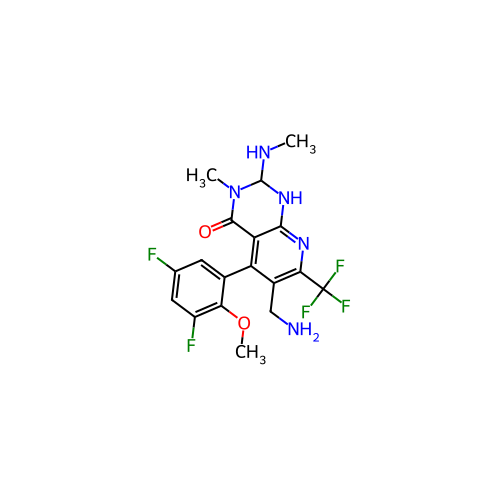 CNC1Nc2nc(C(F)(F)F)c(CN)c(-c3cc(F)cc(F)c3OC)c2C(=O)N1C